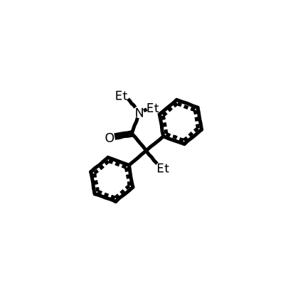 CCN(CC)C(=O)C(CC)(c1ccccc1)c1ccccc1